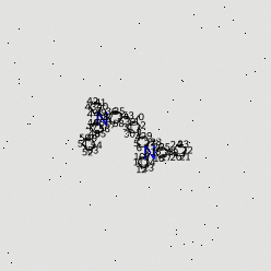 Cc1cc(-c2ccc(N(c3ccccc3)c3ccc(-c4ccccc4)cc3)c(C)c2)ccc1Cc1ccc(N(c2ccccc2)c2ccc(-c3ccccc3)cc2)cc1